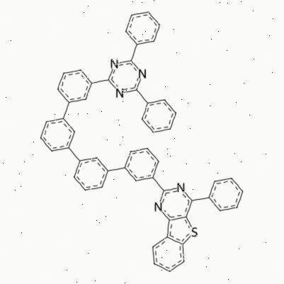 c1ccc(-c2nc(-c3ccccc3)nc(-c3cccc(-c4cccc(-c5cccc(-c6cccc(-c7nc(-c8ccccc8)c8sc9ccccc9c8n7)c6)c5)c4)c3)n2)cc1